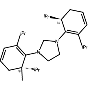 CC(C)C1=C(N2CCN(C3=C(C(C)C)C=CC[C@@]3(C)C(C)C)C2)[C@@H](C(C)C)CC=C1